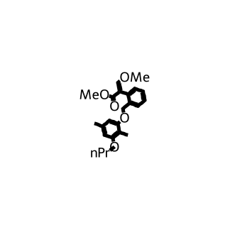 CCCOc1cc(C)cc(OCc2ccccc2/C(=C\OC)C(=O)OC)c1C